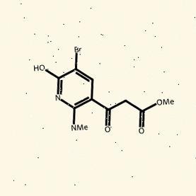 CNc1nc(O)c(Br)cc1C(=O)CC(=O)OC